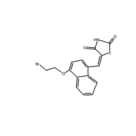 O=C1NC(=O)C(=Cc2ccc(OCCBr)c3ccccc23)S1